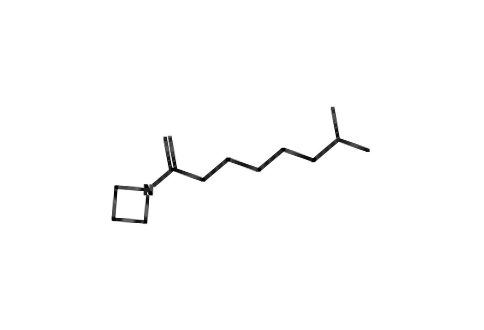 C=C(CCCCCC(C)C)N1CCC1